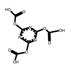 O=C(O)Oc1nc(OC(=O)O)nc(OC(=O)O)n1